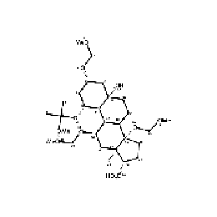 COCO[C@H]1C[C@@H](OC(C)(C)OC)C2C3C(CC[C@]2(O)C1)[C@@]1(OCOC)CC[C@H](C(=O)O)[C@@]1(C)C[C@H]3OCOC